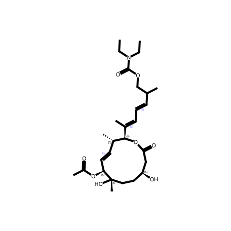 CCN(CC)C(=O)OCC(C)/C=C/C=C(\C)[C@H]1OC(=O)C[C@@H](O)CC[C@](C)(O)[C@@H](OC(C)=O)/C=C/[C@@H]1C